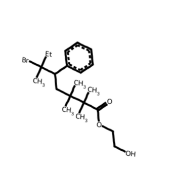 CCC(C)(Br)C(CC(C)(C)C(C)(C)C(=O)OCCO)c1ccccc1